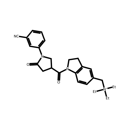 CC[N+](CC)(CC)Cc1ccc2c(c1)CCN2C(=O)C1CC(=O)N(c2cccc(C#N)c2)C1